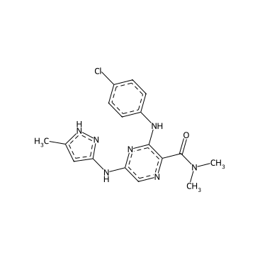 Cc1cc(Nc2cnc(C(=O)N(C)C)c(Nc3ccc(Cl)cc3)n2)n[nH]1